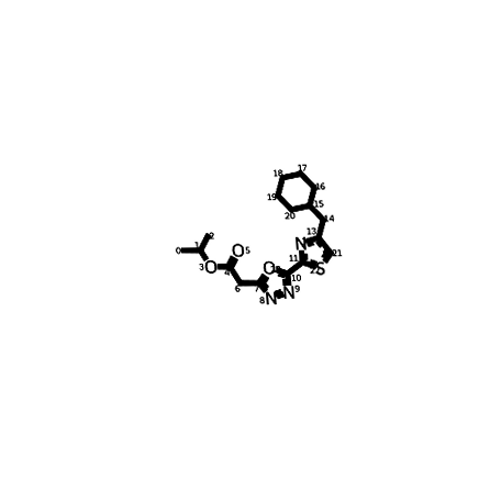 CC(C)OC(=O)Cc1nnc(-c2nc(CC3CCCCC3)cs2)o1